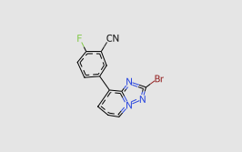 N#Cc1cc(-c2cccn3nc(Br)nc23)ccc1F